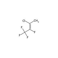 C/C(Cl)=C(\F)C(F)(F)F